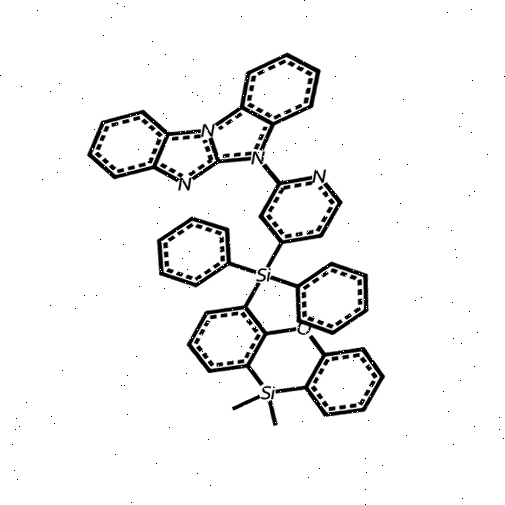 C[Si]1(C)c2ccccc2Oc2c1cccc2[Si](c1ccccc1)(c1ccccc1)c1ccnc(-n2c3ccccc3n3c4ccccc4nc23)c1